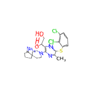 Cc1nc(N2CCC3(CCC[C@H]3N)CC2)c(C(O)CO)nc1Sc1cccc(Cl)c1Cl